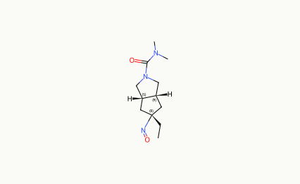 CC[C@]1(N=O)C[C@H]2CN(C(=O)N(C)C)C[C@H]2C1